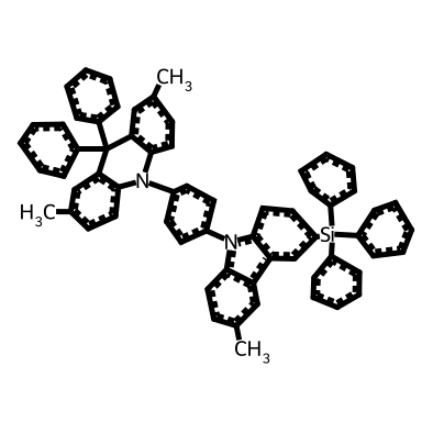 Cc1ccc2c(c1)C(c1ccccc1)(c1ccccc1)c1cc(C)ccc1N2c1ccc(-n2c3ccc(C)cc3c3cc([Si](c4ccccc4)(c4ccccc4)c4ccccc4)ccc32)cc1